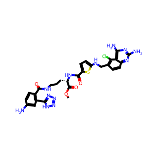 COC(=O)[C@H](CCCNC(=O)c1ccc(N)cc1-c1nnn[nH]1)NC(=O)c1ccc(NCc2ccc3nc(N)nc(N)c3c2Cl)s1